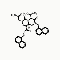 CC(C)[C@H]1C(=O)N(Cc2cccc3ccccc23)C[C@@H]2N(C(=O)OCc3cccc4ccccc34)O[C@@H](CC(N)=O)C(=O)N12